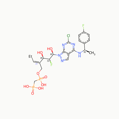 CC/C=C(/COP(=O)(O)CP(=O)(O)O)[C@@H](O)[C@H](F)[C@@H](O)n1ncc2c(N[C@H](C)c3ccc(F)cc3)nc(Cl)nc21